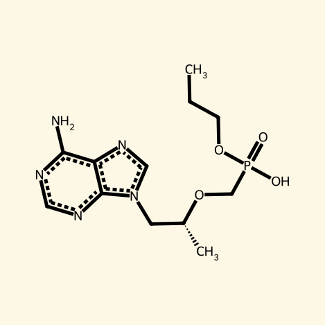 CCCOP(=O)(O)CO[C@H](C)Cn1cnc2c(N)ncnc21